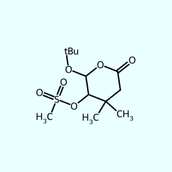 CC(C)(C)OC1OC(=O)CC(C)(C)C1OS(C)(=O)=O